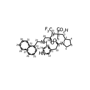 C[C@](CC1CCCN1C(=O)Cc1c[nH]cn1)(C(=O)O)N(C(=O)CNCc1cccc2ccccc12)C(F)(F)F